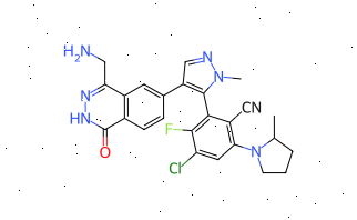 CC1CCCN1c1cc(Cl)c(F)c(-c2c(-c3ccc4c(=O)[nH]nc(CN)c4c3)cnn2C)c1C#N